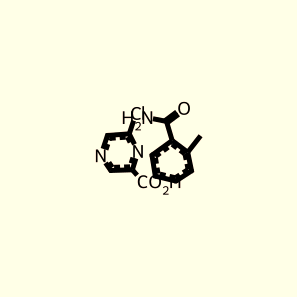 Cc1ccccc1C(N)=O.O=C(O)c1cncc(Cl)n1